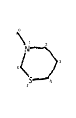 CN1CCCSC1